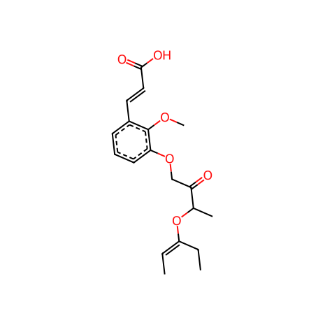 C/C=C(\CC)OC(C)C(=O)COc1cccc(/C=C/C(=O)O)c1OC